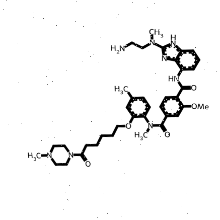 COc1cc(C(=O)N(C)c2ccc(C)cc2OCCCCCC(=O)N2CCN(C)CC2)ccc1C(=O)Nc1cccc2[nH]c(N(C)CCN)nc12